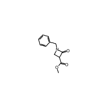 COC(=O)C1CN(Cc2ccccc2)C1=O